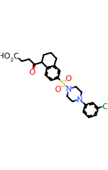 O=C(O)CCC(=O)C1CCCc2cc(S(=O)(=O)N3CCN(c4cccc(Cl)c4)CC3)ccc21